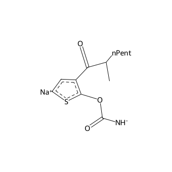 CCCCCC(C)C(=O)c1ccsc1OC([NH-])=O.[Na+]